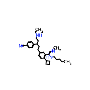 C=CNCCC(CCc1ccc(C2CCC2)c(/C(=C/N=C)NCCCCC)c1)c1ccc(C#N)cc1